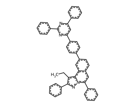 CCc1c(-c2ccccc2)nn2c(-c3ccccc3)cc3ccc(-c4ccc(-c5cc(-c6ccccc6)nc(-c6ccccc6)n5)cc4)cc3c12